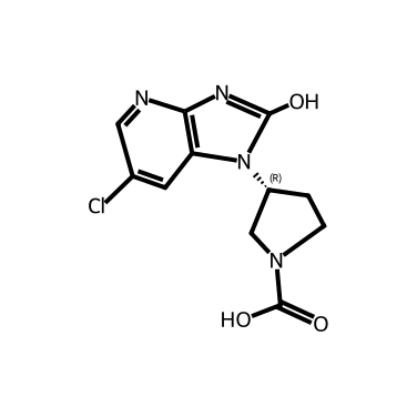 O=C(O)N1CC[C@@H](n2c(O)nc3ncc(Cl)cc32)C1